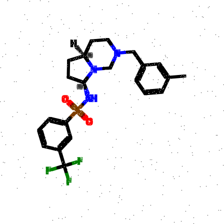 Cc1cccc(CN2CC[C@@H]3CC[C@H](NS(=O)(=O)c4cccc(C(F)(F)F)c4)N3C2)c1